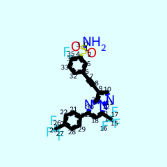 NS(=O)(=O)c1cc(C#Cc2cnn3c(C(F)(F)F)cc(-c4ccc(C(F)(F)F)cc4)nc23)ccc1F